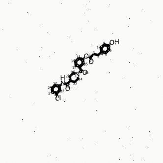 O=C(CCc1ccc(O)cc1)Oc1cccc(C(=O)N2CCC(C(=O)Nc3cccc(Cl)c3)CC2)c1